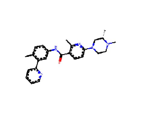 Cc1ccc(NC(=O)c2ccc(N3CCN(C)[C@@H](C)C3)nc2C)cc1-c1ccccn1